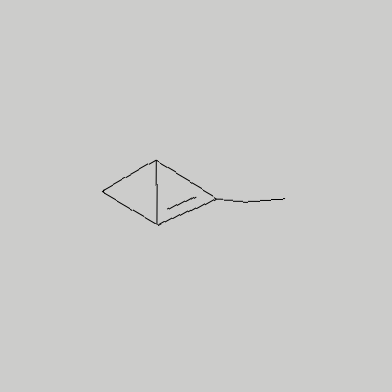 CC1=C2CC12